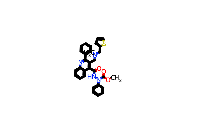 COC(=O)N(NC(=O)c1c(CN(C)Cc2cccs2)c(-c2ccccc2)nc2ccccc12)c1ccccc1